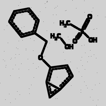 CO.CS(=O)(=O)O.c1ccc(COc2ccc3cc2-3)cc1